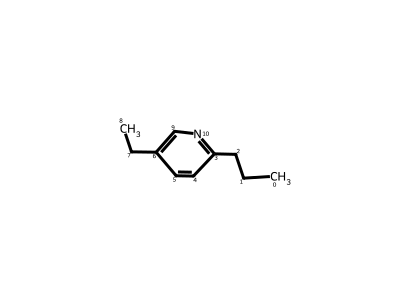 CCCc1ccc(CC)cn1